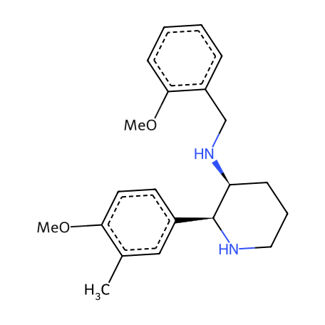 COc1ccc([C@@H]2NCCC[C@@H]2NCc2ccccc2OC)cc1C